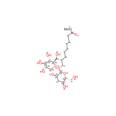 COC(=O)CCCCCCCCO[C@H]1O[C@H](CO)[C@@H](O)C[C@H]1O[C@H]1O[C@H](CO)[C@@H](O)[C@H](O)[C@H]1O